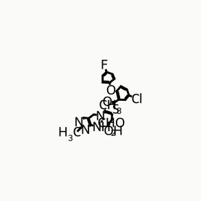 CC(=C(CCO)SC(=O)c1cc(Cl)ccc1Oc1ccc(F)cc1)N(C=O)Cc1cnc(C)nc1N